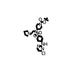 CC(C)(C)OC(=O)N1CCC(N(CCN2CCCC2)S(=O)(=O)c2ccc(Nc3nccc(Cl)n3)cc2)CC1